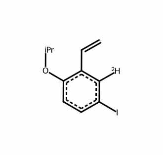 [2H]c1c(I)ccc(OC(C)C)c1C=C